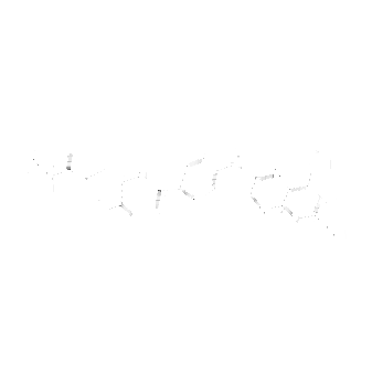 CN(c1ccc(C(=O)N[C@@H](CCC(=O)NN)C(=O)O)cc1)c1cnc2nc(N)nc(O)c2n1